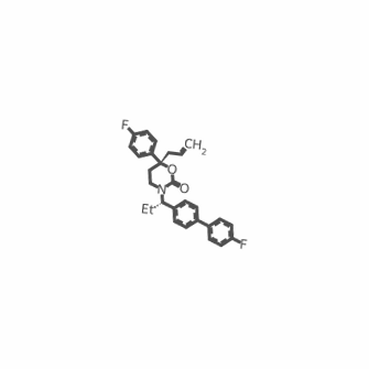 C=CC[C@]1(c2ccc(F)cc2)CCN([C@@H](CC)c2ccc(-c3ccc(F)cc3)cc2)C(=O)O1